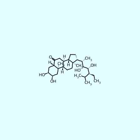 CC[C@@H](C(C)C)[C@@H](O)[C@H](O)[C@@H](C)[C@H]1CC[C@H]2[C@@H]3CC(=O)[C@H]4C[C@H](O)[C@H](O)C[C@]4(C)[C@H]3CC[C@]12C